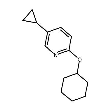 c1cc(OC2CCCCC2)ncc1C1CC1